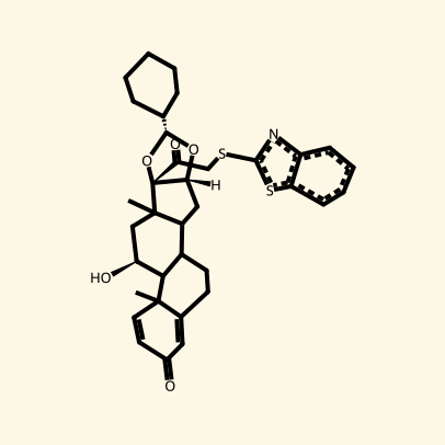 CC12C=CC(=O)C=C1CCC1C2[C@@H](O)CC2(C)C1C[C@H]1O[C@@H](C3CCCCC3)O[C@]12C(=O)CSc1nc2ccccc2s1